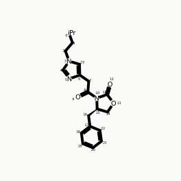 CC(C)CCn1cnc(CC(=O)N2C(=O)OC[C@H]2Cc2ccccc2)c1